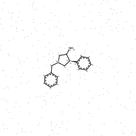 NC1CN(Cc2ccccc2)C[C@@H]1c1ccccc1